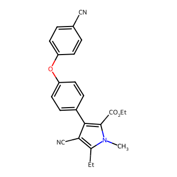 CCOC(=O)c1c(-c2ccc(Oc3ccc(C#N)cc3)cc2)c(C#N)c(CC)n1C